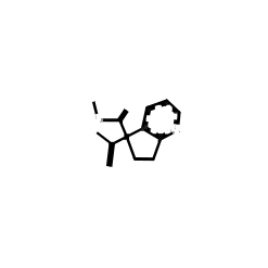 C=C(C)C1(C(=O)NC)CCc2ncccc21